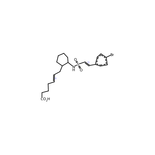 O=C(O)CCC/C=C/CC1CCCCC1NS(=O)(=O)/C=C/c1ccc(Br)cc1